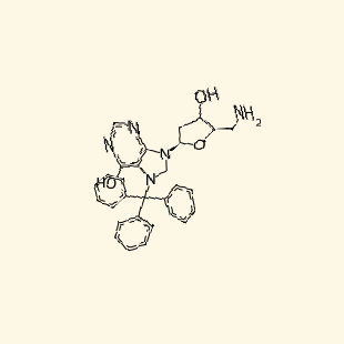 NC[C@H]1O[C@@H](N2CN(C(c3ccccc3)(c3ccccc3)c3ccccc3)c3c(O)ncnc32)CC1O